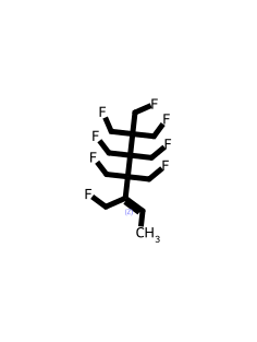 C/C=C(\CF)C(CF)(CF)C(CF)(CF)C(CF)(CF)CF